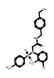 Cc1ccc(S(=O)(=O)N(CC(=O)NCc2ccc(CO)cc2)c2cccc(Cl)c2C)cc1